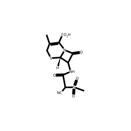 CC1=C(C(=O)O)N2C(=O)C(NC(=O)C(C#N)S(C)(=O)=O)[C@@H]2SC1